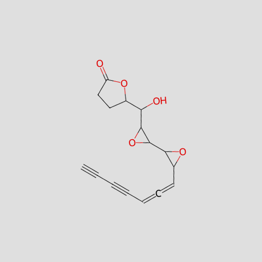 C#CC#CC=C=CC1OC1C1OC1C(O)C1CCC(=O)O1